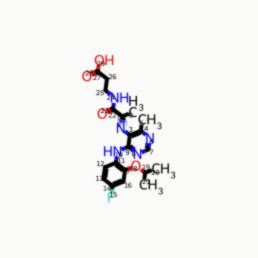 C/C(=N\c1c(C)ncnc1Nc1ccc(F)cc1OC(C)C)C(=O)NCCC(=O)O